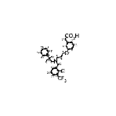 CC(C)(CN(CCCOc1cccc(CC(=O)O)c1)Cc1cccc(C(F)(F)F)c1Cl)c1ccccc1